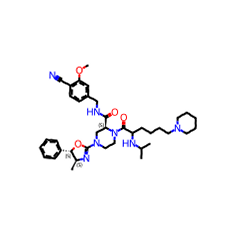 COc1cc(CNC(=O)[C@@H]2CN(C3=N[C@@H](C)[C@H](c4ccccc4)O3)CCN2C(=O)C(CCCCN2CCCCC2)NC(C)C)ccc1C#N